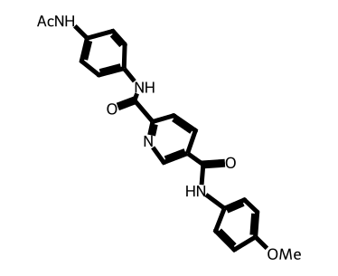 COc1ccc(NC(=O)c2ccc(C(=O)Nc3ccc(NC(C)=O)cc3)nc2)cc1